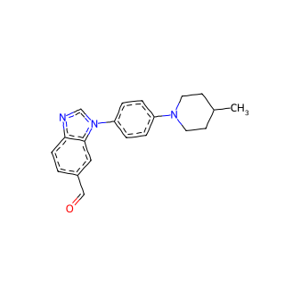 CC1CCN(c2ccc(-n3cnc4ccc(C=O)cc43)cc2)CC1